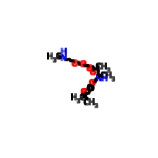 CCNCCCCOCCOCCOCC(=O)C(C)CCC(C)NCCOc1ccc(CC(=O)C(C)CC)cc1